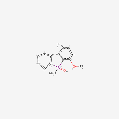 B.CCOc1ccccc1P(=O)(OC)c1ccccc1